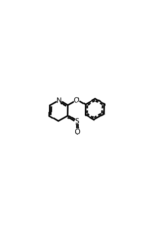 O=S=C1CC=CN=C1Oc1ccccc1